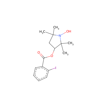 CC1(C)CC(OC(=O)c2ccccc2I)C(C)(C)N1O